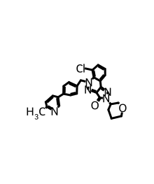 Cc1ccc(-c2ccc(Cn3nc4c(=O)n(C5CCCOC5)nc-4c4cccc(Cl)c43)cc2)cn1